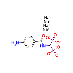 Nc1ccc(C(=O)NC(P(=O)([O-])[O-])P(=O)([O-])[O-])cc1.[Na+].[Na+].[Na+].[Na+]